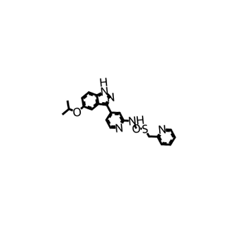 CC(C)Oc1ccc2[nH]nc(-c3ccnc(NOSCc4ccccn4)c3)c2c1